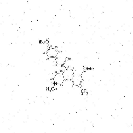 COc1cc(C(F)(F)F)ccc1CN(C(=O)Cc1ccc(OCC(C)C)cc1)C1CCN(C)CC1